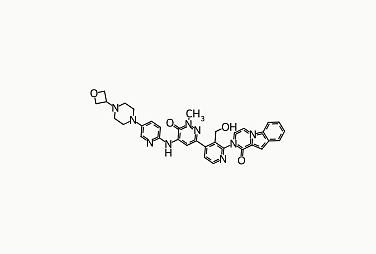 Cn1nc(-c2ccnc(-n3ccn4c(cc5ccccc54)c3=O)c2CO)cc(Nc2ccc(N3CCN(C4COC4)CC3)cn2)c1=O